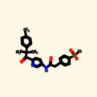 CCS(=O)(=O)c1ccc(CC(=O)Nc2ccc(C(=O)C(C)(C)c3ccc(C(F)(F)F)cc3)nc2)cc1